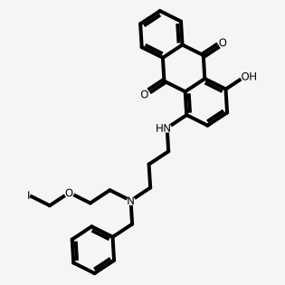 O=C1c2ccccc2C(=O)c2c(NCCCN(CCOCI)Cc3ccccc3)ccc(O)c21